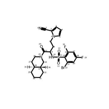 N#Cc1cccn1CCC(NS(=O)(=O)c1c(F)cc(F)cc1Br)C(=O)N1CC[C@@H]2CCCC[C@H]2C1